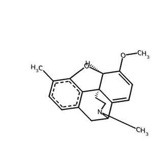 COC1=CC=C2C3Cc4ccc(C)c5c4[C@@]2(CCN3C)[C@H]1O5